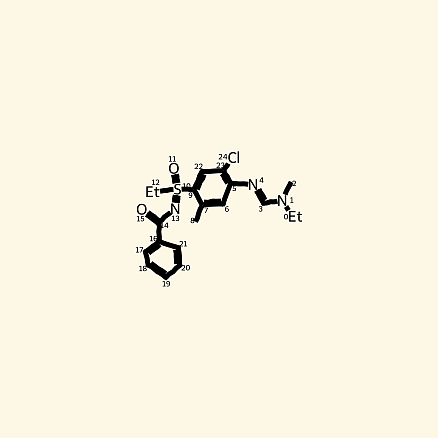 CCN(C)C=Nc1cc(C)c(S(=O)(CC)=NC(=O)c2ccccc2)cc1Cl